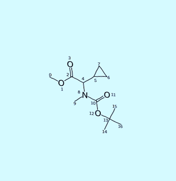 COC(=O)C(C1CC1)N(C)C(=O)OC(C)(C)C